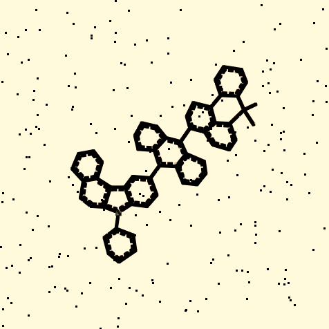 CC1(C)c2ccccc2-c2ccc(-c3c4ccccc4c(-c4ccc5c(c4)c4c6ccccc6ccc4n5-c4ccccc4)c4ccccc34)c3cccc1c23